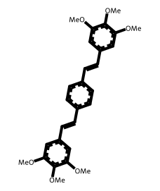 COc1cc(C=Cc2ccc(C=Cc3cc(OC)c(OC)c(OC)c3)cc2)cc(OC)c1OC